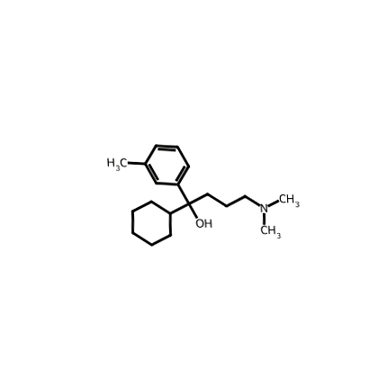 Cc1cccc(C(O)(CCCN(C)C)C2CCCCC2)c1